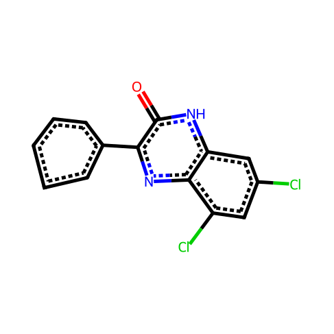 O=c1[nH]c2cc(Cl)cc(Cl)c2nc1-c1ccccc1